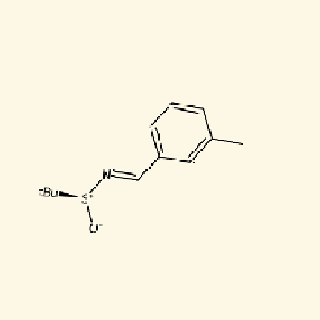 Cc1[c]c(/C=N/[S@@+]([O-])C(C)(C)C)ccc1